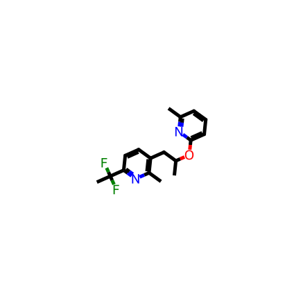 Cc1cccc(OC(C)Cc2ccc(C(C)(F)F)nc2C)n1